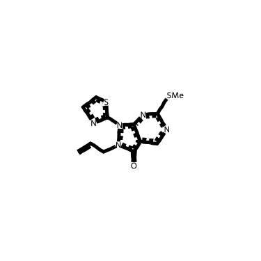 C=CCn1c(=O)c2cnc(SC)nc2n1-c1nccs1